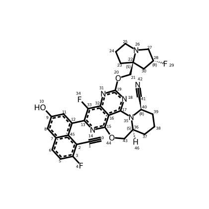 C#Cc1c(F)ccc2cc(O)cc(-c3nc4c5c(nc(OC[C@@]67CCCN6C[C@H](F)C7)nc5c3F)N3[C@@H](CCC[C@@H]3C#N)CO4)c12